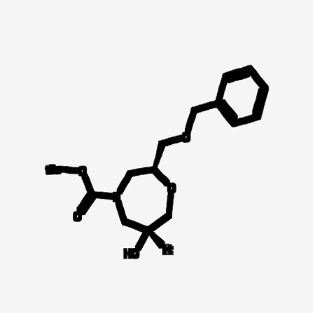 CC[C@]1(O)CO[C@H](COCc2ccccc2)CN(C(=O)OC(C)(C)C)C1